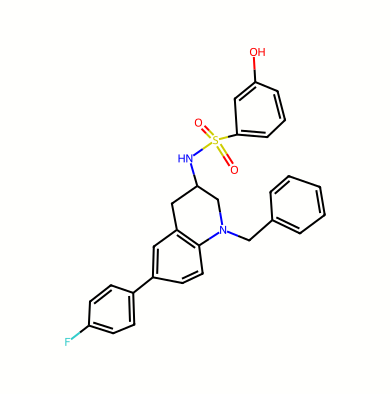 O=S(=O)(NC1Cc2cc(-c3ccc(F)cc3)ccc2N(Cc2ccccc2)C1)c1cccc(O)c1